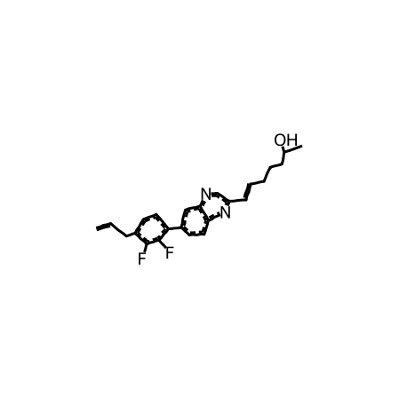 C=CCc1ccc(-c2ccc3nc(/C=C/CCCC(C)O)cnc3c2)c(F)c1F